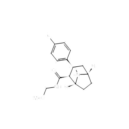 COCNC(=O)[C@H]1[C@@H](c2ccc(F)cc2)C[C@@H]2CC[C@H]1N2C